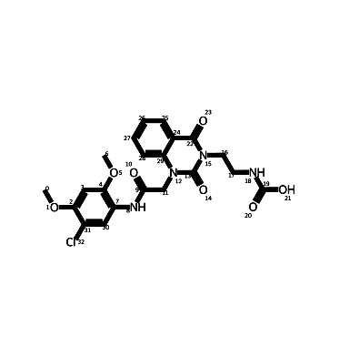 COc1cc(OC)c(NC(=O)Cn2c(=O)n(CCNC(=O)O)c(=O)c3ccccc32)cc1Cl